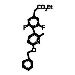 CCOC(=O)Cc1cc(F)c(-c2ccc(OCc3ccccc3)nc2C)c(F)c1